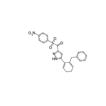 O=C(c1cc(C2=CCCC=C2Cc2ccccc2)[nH]n1)S(=O)(=O)c1ccc([N+](=O)[O-])cc1